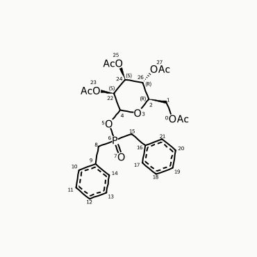 CC(=O)OC[C@H]1OC(OP(=O)(Cc2ccccc2)Cc2ccccc2)[C@@H](OC(C)=O)[C@@H](OC(C)=O)[C@@H]1OC(C)=O